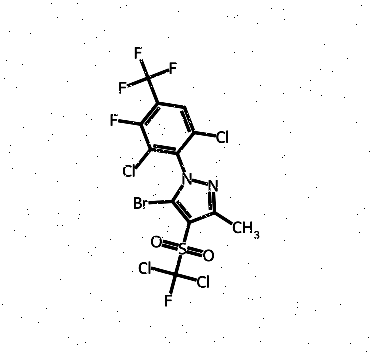 Cc1nn(-c2c(Cl)cc(C(F)(F)F)c(F)c2Cl)c(Br)c1S(=O)(=O)C(F)(Cl)Cl